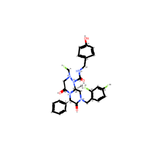 O=C1[C@H](c2ccccc2)N2C(=O)CN(CF)N(C(=O)NCc3ccc(O)cc3)[C@H]2CN1Cc1ccc(F)cc1F